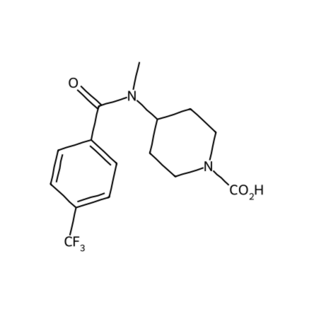 CN(C(=O)c1ccc(C(F)(F)F)cc1)C1CCN(C(=O)O)CC1